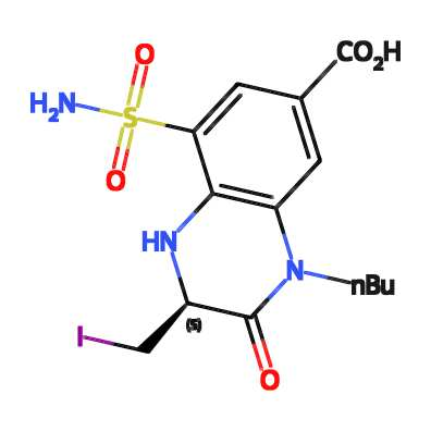 CCCCN1C(=O)[C@@H](CI)Nc2c1cc(C(=O)O)cc2S(N)(=O)=O